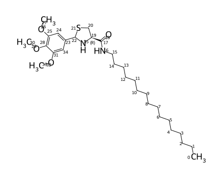 CCCCCCCCCCCCCCCCNC(=O)[C@@H]1CSC(c2cc(OC)c(OC)c(OC)c2)N1